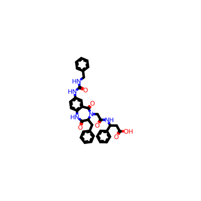 O=C(O)CC(NC(=O)CN1C(=O)c2cc(NC(=O)NCc3ccccc3)ccc2NC(=O)C1Cc1ccccc1)c1ccccc1